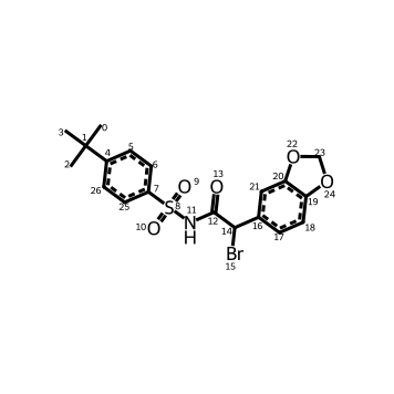 CC(C)(C)c1ccc(S(=O)(=O)NC(=O)C(Br)c2ccc3c(c2)OCO3)cc1